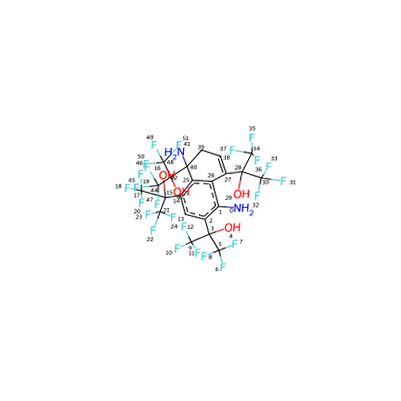 Nc1c(C(O)(C(F)(F)F)C(F)(F)F)cc(C(O)(C(F)(F)F)C(F)(F)F)c2c1C(C(O)(C(F)(F)F)C(F)(F)F)=CCC2(N)C(O)(C(F)(F)F)C(F)(F)F